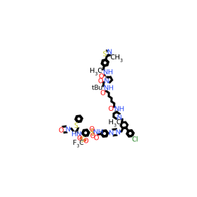 Cc1ncsc1-c1ccc([C@H](C)NC(=O)[C@@H]2CCCN2C(=O)C(NC(=O)CCCCCC(=O)N[C@H]2CCCN(CC3(C)CCC(c4ccc(Cl)cc4)=C(CN4CCN(c5ccc(C(=O)NS(=O)(=O)c6ccc(N[C@H](CCN7CCOCC7)CSc7ccccc7)c(S(=O)(=O)C(F)(F)F)c6)cc5)CC4)C3)C2)C(C)(C)C)cc1